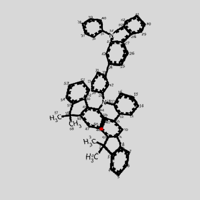 CC1(C)c2ccccc2-c2cc(-c3ccccc3N(c3cccc(-c4ccc5c6ccccc6n(-c6ccccc6)c5c4)c3)c3cccc4c3-c3ccccc3C4(C)C)ccc21